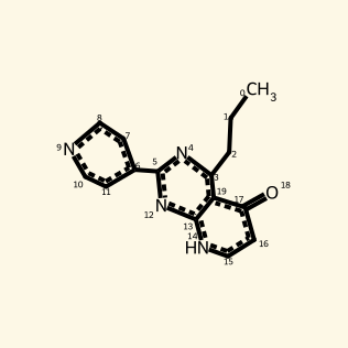 CCCc1nc(-c2ccncc2)nc2[nH]ccc(=O)c12